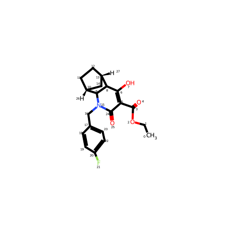 CCOC(=O)C1=C(O)C2C([C@@H]3CC[C@H]2C3)N(Cc2ccc(F)cc2)C1=O